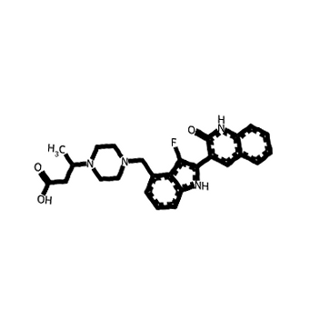 CC(CC(=O)O)N1CCN(Cc2cccc3[nH]c(-c4cc5ccccc5[nH]c4=O)c(F)c23)CC1